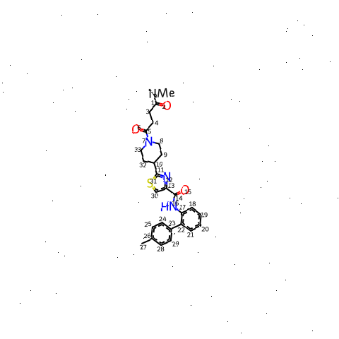 CNC(=O)CCC(=O)N1CCC(c2nc(C(=O)Nc3ccccc3-c3ccc(C)cc3)cs2)CC1